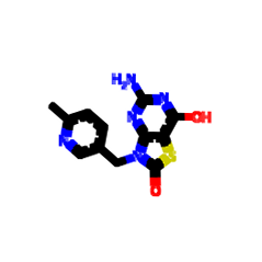 Cc1ccc(Cn2c(=O)sc3c(O)nc(N)nc32)cn1